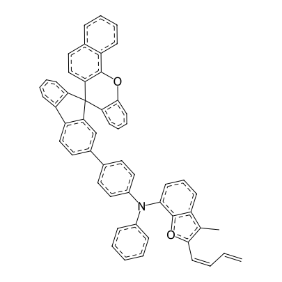 C=C/C=C\c1oc2c(N(c3ccccc3)c3ccc(-c4ccc5c(c4)C4(c6ccccc6Oc6c4ccc4ccccc64)c4ccccc4-5)cc3)cccc2c1C